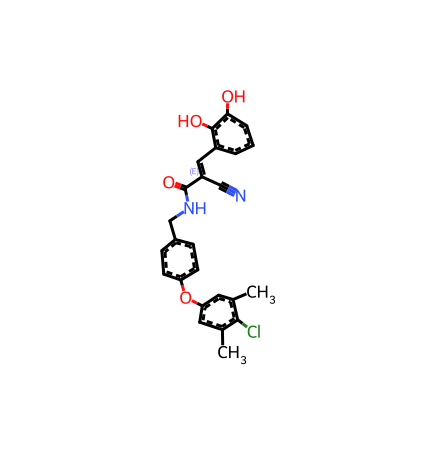 Cc1cc(Oc2ccc(CNC(=O)/C(C#N)=C/c3cccc(O)c3O)cc2)cc(C)c1Cl